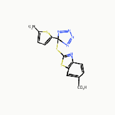 O=C(O)c1ccc2nc(SC3(c4ccc([N+](=O)[O-])s4)N=NN=N3)sc2c1